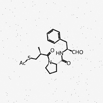 CC(=O)SC[C@@H](C)C(=O)N1CCC[C@H]1C(=O)N[C@H](C=O)Cc1ccccc1